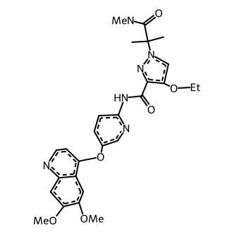 CCOc1cn(C(C)(C)C(=O)NC)nc1C(=O)Nc1ccc(Oc2ccnc3cc(OC)c(OC)cc23)cn1